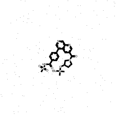 CC(C)(C)[Si](C)(C)OC1CCN(C(=O)c2cnc3cncc(-c4ccc(C(=O)NS(C)(=O)=O)cc4)c3c2)C1